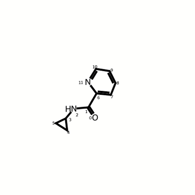 O=C(NC1CC1)c1ccccn1